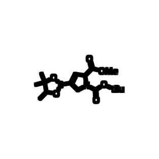 COC(=O)C1C=C(B2OC(C)C(C)(C)O2)CN1C(=O)OC(C)(C)C